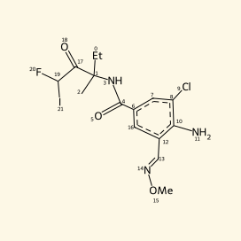 CCC(C)(NC(=O)c1cc(Cl)c(N)c(/C=N/OC)c1)C(=O)C(F)I